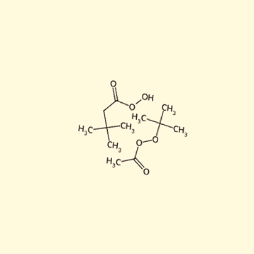 CC(=O)OOC(C)(C)C.CC(C)(C)CC(=O)OO